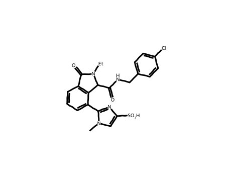 CCN1C(=O)c2cccc(-c3nc(S(=O)(=O)O)cn3C)c2C1C(=O)NCc1ccc(Cl)cc1